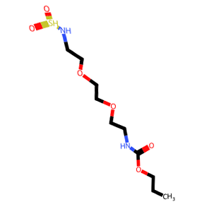 CCCOC(=O)NCCOCCOCCN[SH](=O)=O